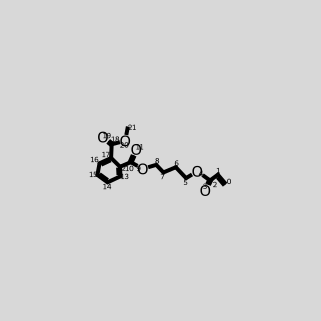 C=CC(=O)OCCCCOC(=O)c1ccccc1C(=O)OC